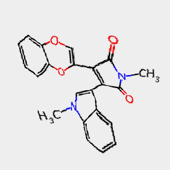 CN1C(=O)C(C2=COc3ccccc3O2)=C(c2cn(C)c3ccccc23)C1=O